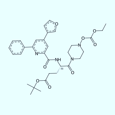 CCOC(=O)ON1CCN(C(=O)[C@H](CCC(=O)OC(C)(C)C)NC(=O)c2cc(-c3ccoc3)cc(-c3ccccc3)n2)CC1